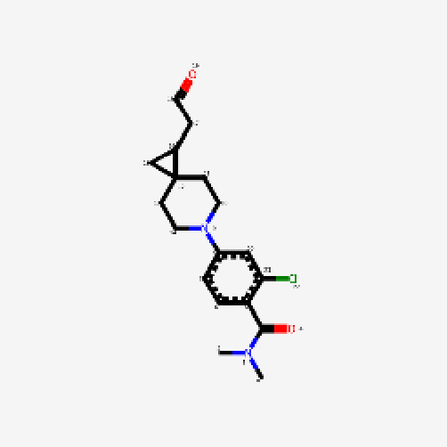 CN(C)C(=O)c1ccc(N2CCC3(CC2)CC3CC=O)cc1Cl